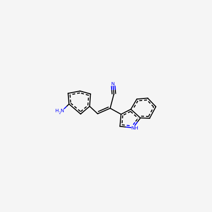 N#CC(=Cc1cccc(N)c1)c1c[nH]c2ccccc12